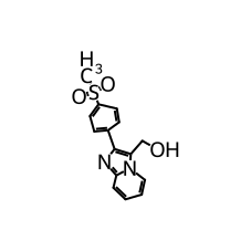 CS(=O)(=O)c1ccc(-c2nc3ccccn3c2CO)cc1